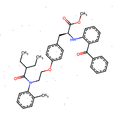 CCC(CC)C(=O)N(CCOc1ccc(C[C@H](Nc2ccccc2C(=O)c2ccccc2)C(=O)OC)cc1)c1ccccc1C